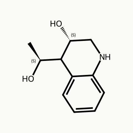 C[C@H](O)C1c2ccccc2NC[C@H]1O